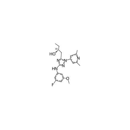 CC[C@H](O)Cc1nc(Nc2cc(F)cc(OC)c2)nn1-c1cc(C)nc(C)c1